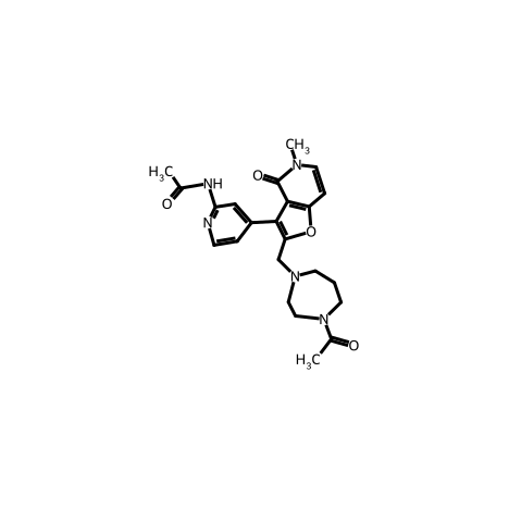 CC(=O)Nc1cc(-c2c(CN3CCCN(C(C)=O)CC3)oc3ccn(C)c(=O)c23)ccn1